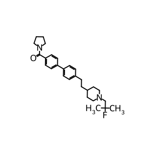 CC(C)(F)CN1CCC(CCc2ccc(-c3ccc(C(=O)N4CCCC4)cc3)cc2)CC1